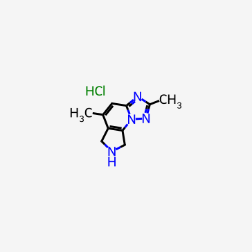 Cc1nc2cc(C)c3c(n2n1)CNC3.Cl